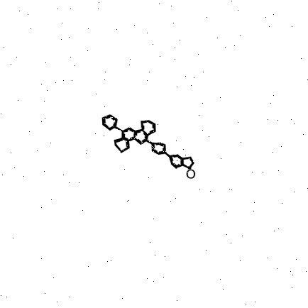 O=C1CCc2cc(-c3ccc(-c4cc5c6c(c(-c7ccccc7)cc5c5ccccc45)=CCCC=6)cc3)ccc21